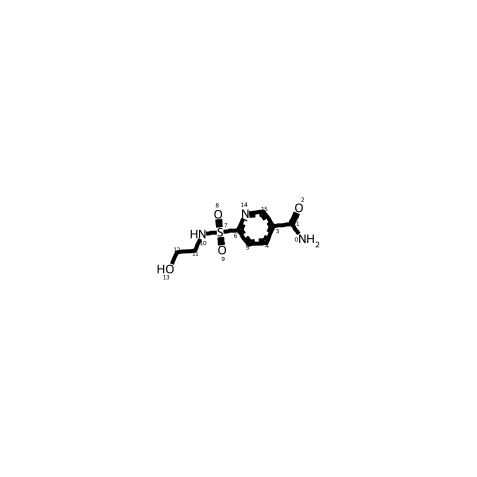 NC(=O)c1ccc(S(=O)(=O)NCCO)nc1